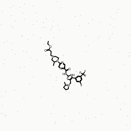 CCOC(=O)CCN1CCN(c2cnc(C(=O)NC3NC(c4cc(F)cc(C(F)(F)F)c4)=C(CN4CCCC4C)S3)cn2)C(C)C1